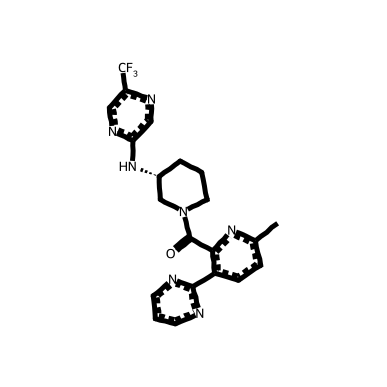 Cc1ccc(-c2ncccn2)c(C(=O)N2CCC[C@@H](Nc3cnc(C(F)(F)F)cn3)C2)n1